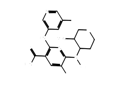 CNC1COCCC1N(C)c1nc(Nc2cncc(F)c2)c(C(N)=O)cc1F